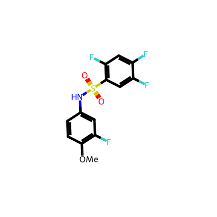 COc1ccc(NS(=O)(=O)c2cc(F)c(F)cc2F)cc1F